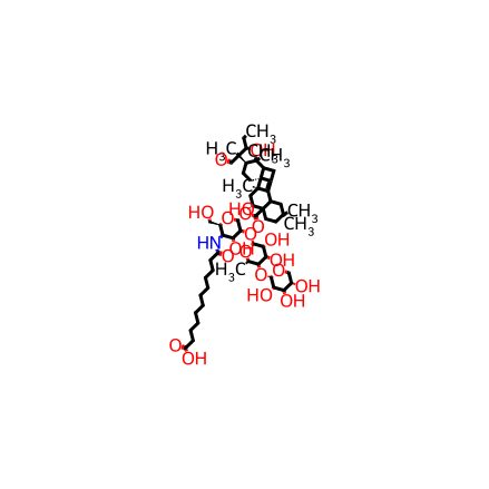 CCC(O)C(C)(C=O)[C@@H]1CC[C@]23C(=C4C5CC(C)(C)CCC5(C(=O)O[C@@H]5O[C@H](CO)C(NC(=O)CCCCCCCCCCC(=O)O)C(O)C5O[C@@H]5O[C@H](C)C(O[C@@H]6OC[C@@H](O)C(O)C6O)C(O)C5O)[C@H](O)C[C@]42C)CC3C1(C)C